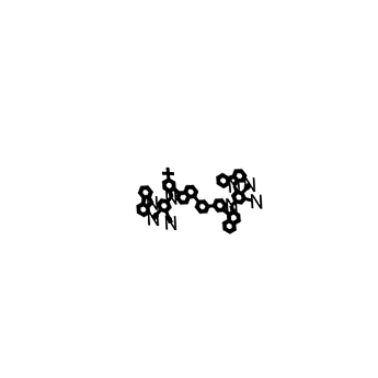 CC(C)(C)c1ccc2c(c1)c1c3cccc(-c4cccc(-c5ccc6c(c5)c5c7ccccc7ccc5n6-c5cc(C#N)c(C#N)c(-n6c7ccccc7c7ccccc76)c5)c4)c3ccc1n2-c1cc(C#N)c(C#N)c(-n2c3ccccc3c3ccccc32)c1